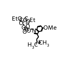 CCOC(=O)OCOP(=O)(OCOC(=O)OCC)OCn1cc(CCN(C)C)c2cc(OC)ccc21